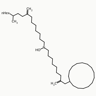 C=C(CCCCCCCN(O)CCCCCCCC(=C)CC1CCCCCCCCCCCCCC1)CCC(C)CCCCCC